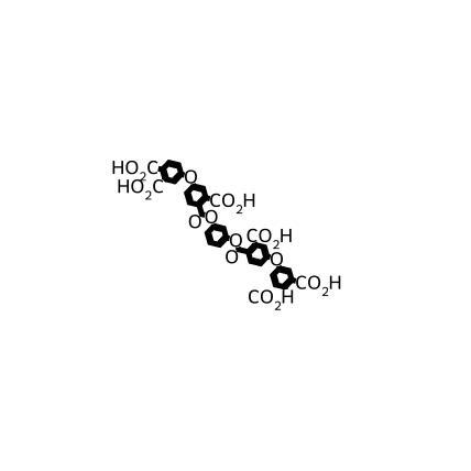 O=C(O)c1ccc(Oc2ccc(C(=O)Oc3cccc(OC(=O)c4ccc(Oc5ccc(C(=O)O)c(C(=O)O)c5)cc4C(=O)O)c3)c(C(=O)O)c2)cc1C(=O)O